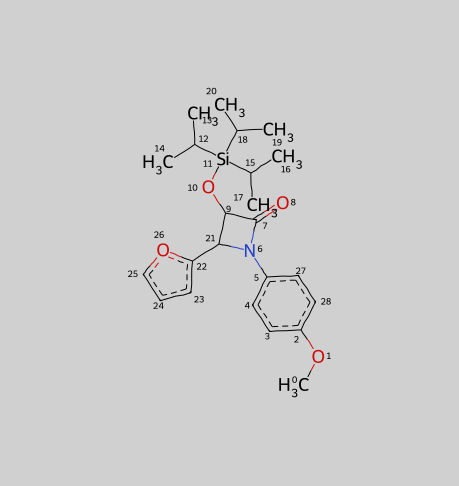 COc1ccc(N2C(=O)C(O[Si](C(C)C)(C(C)C)C(C)C)C2c2ccco2)cc1